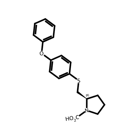 O=C(O)N1CCC[C@@H]1CSc1ccc(Oc2ccccc2)cc1